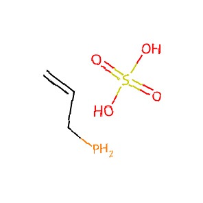 C=CCP.O=S(=O)(O)O